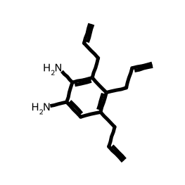 C=CCc1cc(N)c(N)c(CC=C)c1CC=C